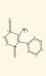 NC1=C(c2ccccc2)C(=O)C=CC1=O